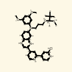 COc1cc(OC)cc(N(CCCO[C@](C)(SC)C(C)(C)C)c2ccc3ncc(-c4ccnc(-c5ccnc(Cl)c5)c4)nc3c2)c1